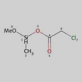 CO[SiH](C)OC(=O)CCl